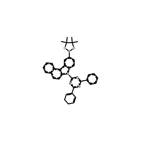 CC1(C)OB(c2ccc3c(c2)c2c4ccccc4ccc2n3-c2nc(C3=CCCC=C3)nc(-c3ccccc3)n2)OC1(C)C